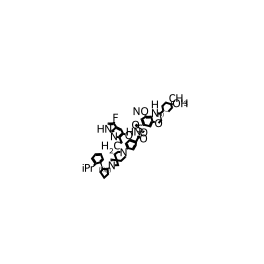 C=Cc1nc2[nH]cc(F)c2cc1Oc1cc(N2CCC3(CC2)CN([C@H]2CCC[C@H]2c2ccccc2C(C)C)C3)ccc1C(=O)NS(=O)(=O)c1cc(N=O)c2c(c1)OC[C@H]([C@H]1CC[C@](C)(O)CC1)N2